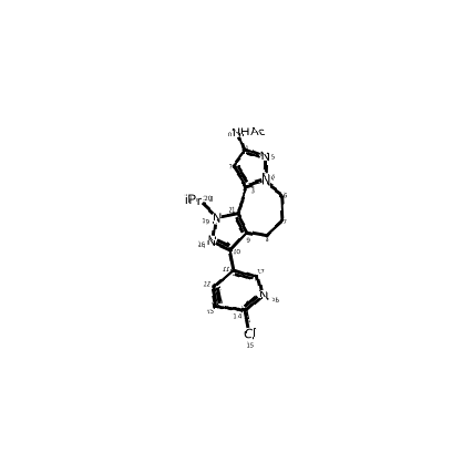 CC(=O)Nc1cc2n(n1)CCCc1c(-c3ccc(Cl)nc3)nn(C(C)C)c1-2